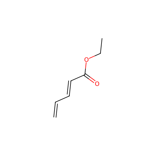 C=CC=CC(=O)OCC